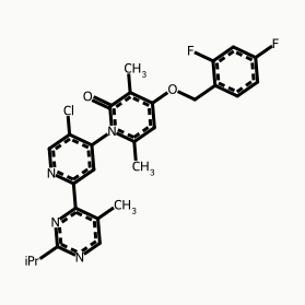 Cc1cnc(C(C)C)nc1-c1cc(-n2c(C)cc(OCc3ccc(F)cc3F)c(C)c2=O)c(Cl)cn1